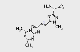 Cc1cc(C)n2nc(/C=C/c3nc(C(N)C4CC4)nn3C)nc2n1